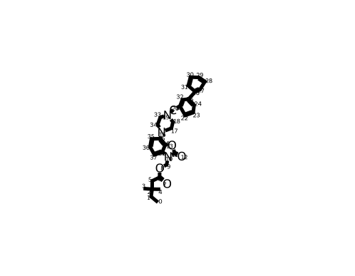 CCC(C)(C)CC(=O)OCn1c(=O)oc2c(N3CCN(Cc4cccc(-c5ccccc5)c4)CC3)cccc21